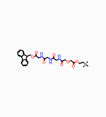 C[Si](C)(C)CCOC(=O)COCC(=O)NCC(=O)NCC(=O)NCC(=O)OCC1c2ccccc2-c2ccccc21